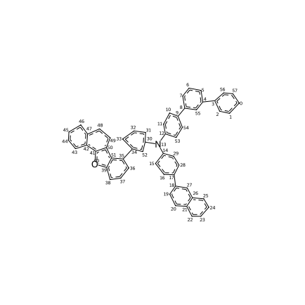 c1ccc(-c2cccc(-c3ccc(N(c4ccc(-c5ccc6ccccc6c5)cc4)c4cccc(-c5cccc6oc7c8ccccc8ccc7c56)c4)cc3)c2)cc1